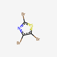 Brc1nc(Br)c(Br)s1